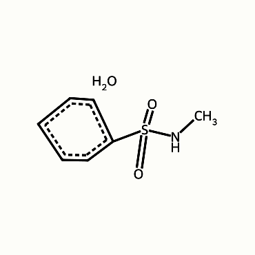 CNS(=O)(=O)c1ccccc1.O